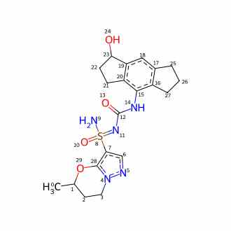 CC1CCn2ncc(S(N)(=O)=NC(=O)Nc3c4c(cc5c3CCC5O)CCC4)c2O1